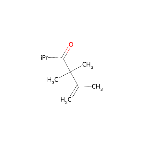 C=C(C)C(C)(C)C(=O)C(C)C